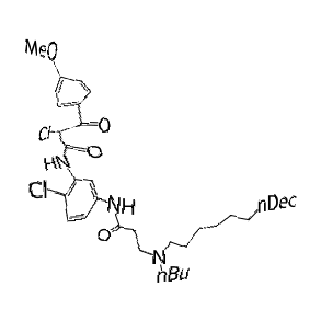 CCCCCCCCCCCCCCCCN(CCCC)CCC(=O)Nc1ccc(Cl)c(NC(=O)C(Cl)C(=O)c2ccc(OC)cc2)c1